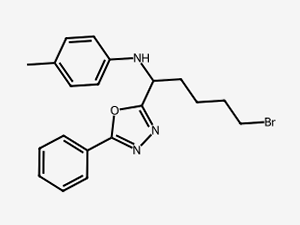 Cc1ccc(NC(CCCCBr)c2nnc(-c3ccccc3)o2)cc1